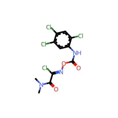 CN(C)C(=O)C(Cl)=NOC(=O)Nc1cc(Cl)c(Cl)cc1Cl